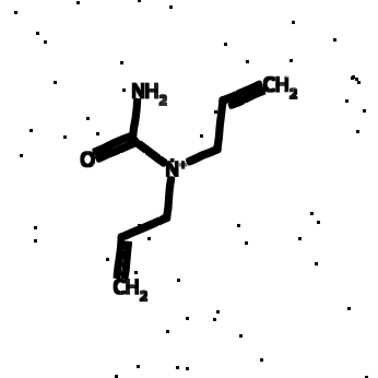 C=CC[N+](CC=C)C(N)=O